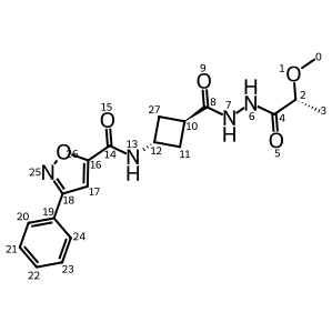 CO[C@H](C)C(=O)NNC(=O)[C@H]1C[C@H](NC(=O)c2cc(-c3ccccc3)no2)C1